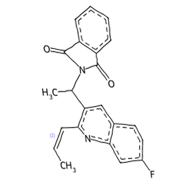 C/C=C\c1nc2cc(F)ccc2cc1C(C)N1C(=O)c2ccccc2C1=O